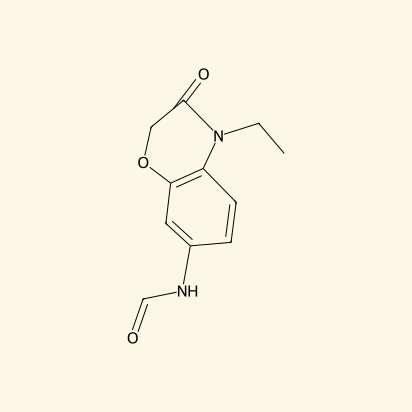 CCN1C(=O)COc2cc(NC=O)ccc21